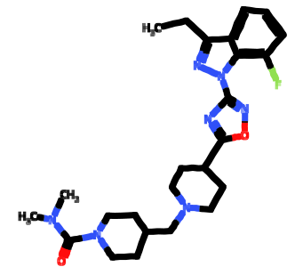 CCc1nn(-c2noc(C3CCN(CC4CCN(C(=O)N(C)C)CC4)CC3)n2)c2c(F)cccc12